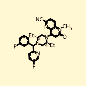 CC[C@H]1CN(C(c2cccc(F)c2)c2ccc(F)cn2)[C@H](CC)CN1c1cc(=O)n(C)c2ccc(C#N)nc12